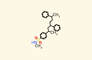 CNS(=O)(=O)c1ccc(C(C)CC(CCC(C)c2ccccc2)c2ccccc2)cc1